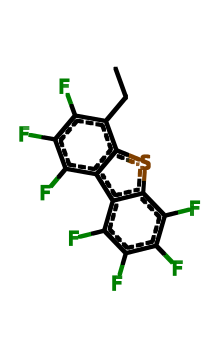 CCc1c(F)c(F)c(F)c2c1sc1c(F)c(F)c(F)c(F)c12